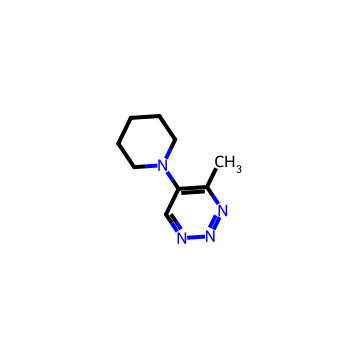 Cc1nnncc1N1CCCCC1